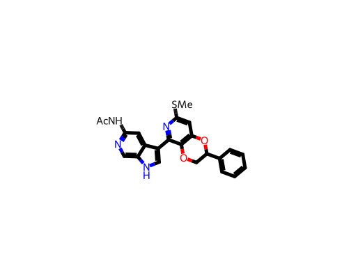 CSc1cc2c(c(-c3c[nH]c4cnc(NC(C)=O)cc34)n1)OCC(c1ccccc1)O2